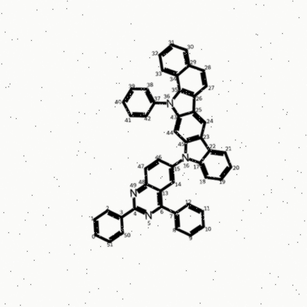 c1ccc(-c2nc(-c3ccccc3)c3cc(-n4c5ccccc5c5cc6c7ccc8ccccc8c7n(-c7ccccc7)c6cc54)ccc3n2)cc1